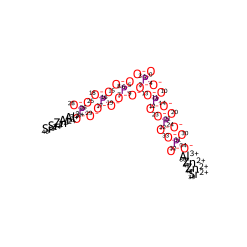 O=P([O-])([O-])[O-].O=P([O-])([O-])[O-].O=P([O-])([O-])[O-].O=P([O-])([O-])[O-].O=P([O-])([O-])[O-].O=P([O-])([O-])[O-].O=P([O-])([O-])[O-].[Al+3].[Al+3].[Al+3].[Sr+2].[Sr+2].[Sr+2].[Zn+2].[Zn+2].[Zn+2]